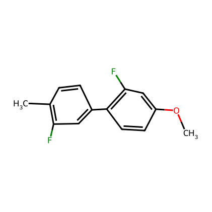 COc1ccc(-c2ccc(C)c(F)c2)c(F)c1